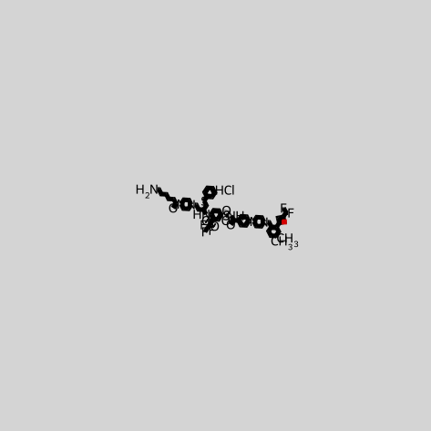 CC1(C)CCC(CN2CCN(c3ccc(C(=O)NS(=O)(=O)c4ccc(NC(CCN5CCN(C(=O)CCCCCN)CC5)CSc5ccccc5)c(S(=O)(=O)C(F)(F)F)c4)cc3)CC2)=C(C23CC(C(F)F)(C2)C3)C1.Cl